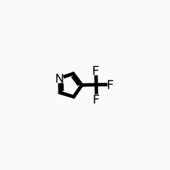 FC(F)(F)C1=CN=CC1